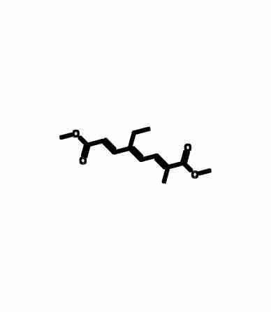 CCC(/C=C/C(=O)OC)=C\C=C(/C)C(=O)OC